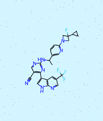 CC(Nc1ncc(C#N)c(-c2c[nH]c3ncc(C(F)(F)F)cc23)n1)c1ccc(N2CC(F)(C3CC3)C2)nc1